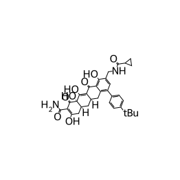 CC(C)(C)c1ccc(-c2cc(CNC(=O)C3CC3)c(O)c3c2C[C@H]2C[C@H]4CC(O)=C(C(N)=O)C(=O)[C@@]4(O)C(O)=C2C3=O)cc1